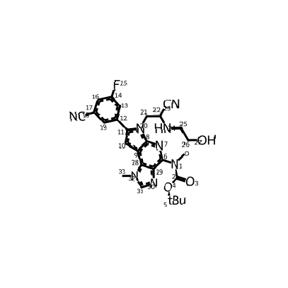 CN(C(=O)OC(C)(C)C)c1nc2c(cc(-c3cc(F)cc(C#N)c3)n2CC(C#N)NCCO)c2c1ncn2C